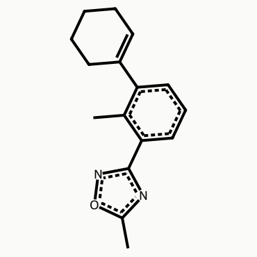 Cc1nc(-c2cccc(C3=CCCCC3)c2C)no1